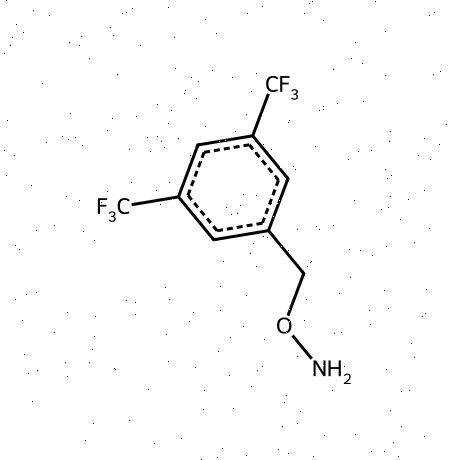 NOCc1cc(C(F)(F)F)cc(C(F)(F)F)c1